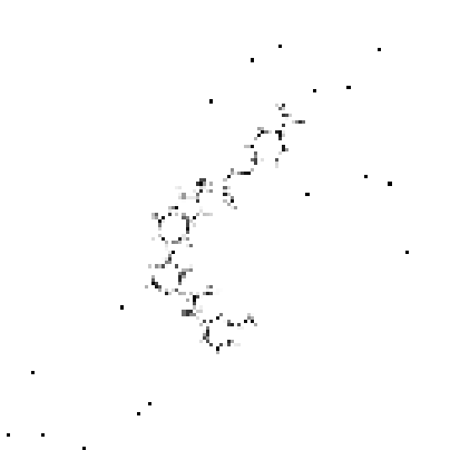 CC(=O)N1CCN(CCC(=O)Nc2nc3ccc(-c4cccc(C(=O)Nc5cccc(CF)c5)c4)nc3s2)CC1